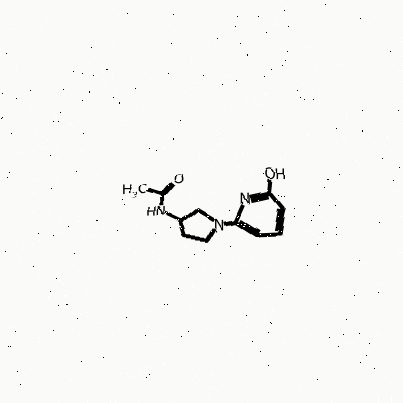 CC(=O)NC1CCN(c2cccc(O)n2)C1